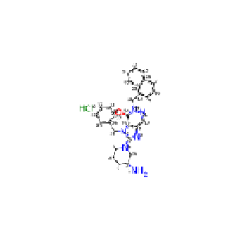 Cl.NC1CCCN(c2nc3cnn(Cc4cccc5ccccc45)c(=O)c3n2Cc2ccccc2)C1